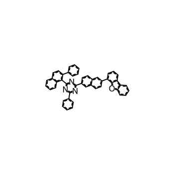 c1ccc(-c2nc(-c3ccc4cc(-c5cccc6c5oc5ccccc56)ccc4c3)nc(-c3c(-c4ccccc4)ccc4ccccc34)n2)cc1